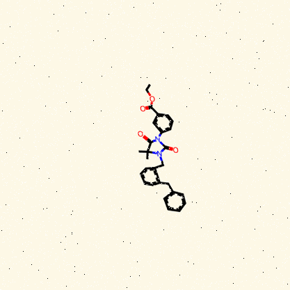 CCOC(=O)c1cccc(N2C(=O)N(Cc3ccccc3Cc3ccccc3)C(C)(C)C2=O)c1